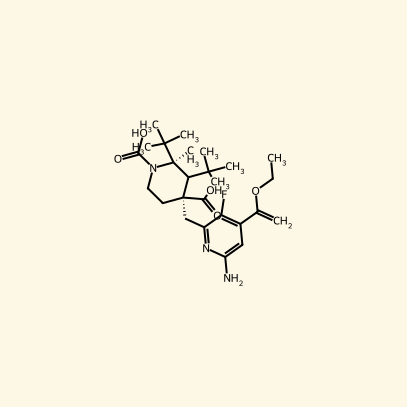 C=C(OCC)c1cc(N)nc(C[C@]2(C(=O)O)CCN(C(=O)O)[C@@](C)(C(C)(C)C)C2C(C)(C)C)c1F